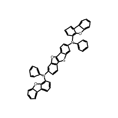 c1ccc(N(c2ccc3c(c2)oc2c4ccc(N(c5ccccc5)c5cccc6c5oc5ccccc56)cc4sc32)c2cccc3c2oc2ccccc23)cc1